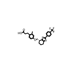 Cc1cc(OC[C@H]2CCCc3sc(-c4ccc(C(F)(F)F)cc4)nc32)ccc1CCC(=O)O